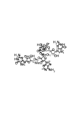 COC[C@H]1[C@@H](O)[C@H](n2c[n+](C)c3c(=O)[nH]c(N)nc32)O[C@@H]1COP(=O)([O-])OP(=O)(O)OP(=O)(O)OC[C@H]1O[C@@H](n2cnc3c(N)ncnc32)[C@H](OC)[C@@H]1OCOC[C@H]1O[C@@H](n2cnc3c(=O)[nH]c(N)nc32)[C@H](O)[C@@H]1O